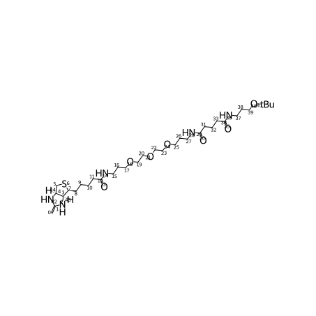 C=C1N[C@H]2[C@H](CS[C@H]2CCCCC(=O)NCCCOCCOCCOCCCNC(=O)CCCC(=O)NCCCOC(C)(C)C)N1